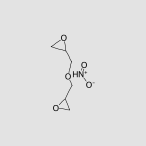 C(OCC1CO1)C1CO1.O=[NH+][O-]